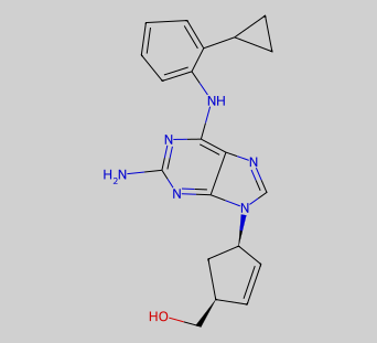 Nc1nc(Nc2ccccc2C2CC2)c2ncn([C@H]3C=C[C@@H](CO)C3)c2n1